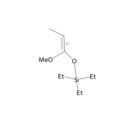 C/C=C(\OC)O[Si](CC)(CC)CC